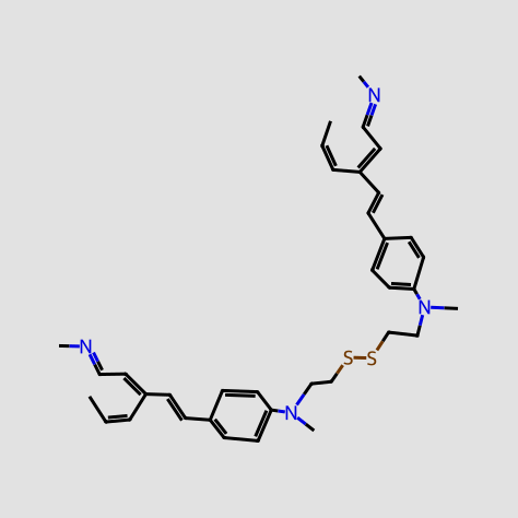 C\C=C/C(/C=C/c1ccc(N(C)CCSSCCN(C)c2ccc(/C=C/C(/C=C\C)=C/C=N/C)cc2)cc1)=C\C=N\C